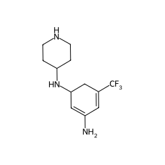 NC1=CC(NC2CCNCC2)CC(C(F)(F)F)=C1